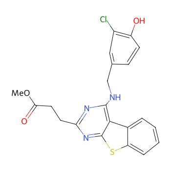 COC(=O)CCc1nc(NCc2ccc(O)c(Cl)c2)c2c(n1)sc1ccccc12